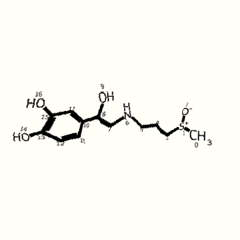 C[S+]([O-])CCCNCC(O)c1ccc(O)c(O)c1